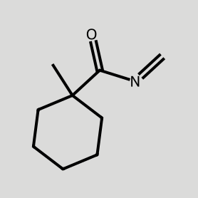 C=NC(=O)C1(C)CCCCC1